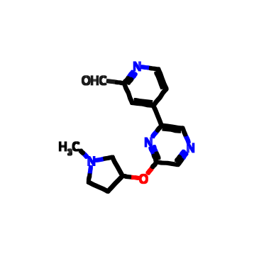 CN1CCC(Oc2cncc(-c3ccnc(C=O)c3)n2)C1